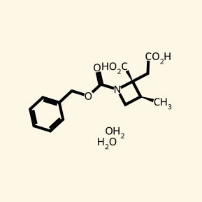 C[C@H]1CN(C(=O)OCc2ccccc2)[C@@]1(CC(=O)O)C(=O)O.O.O